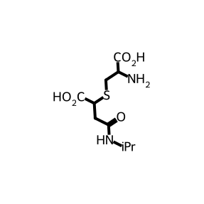 CC(C)NC(=O)CC(SCC(N)C(=O)O)C(=O)O